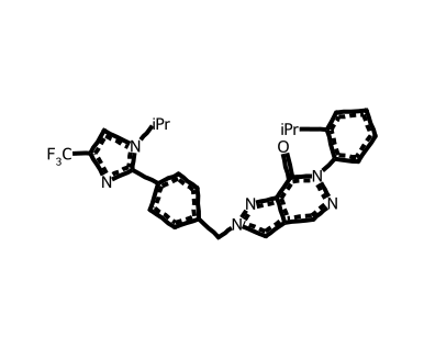 CC(C)c1ccccc1-n1ncc2cn(Cc3ccc(-c4nc(C(F)(F)F)cn4C(C)C)cc3)nc2c1=O